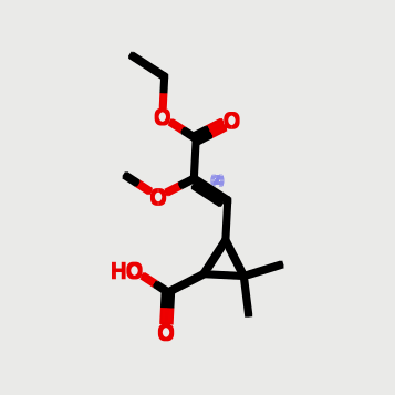 CCOC(=O)/C(=C/C1C(C(=O)O)C1(C)C)OC